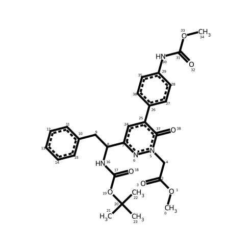 COC(=O)Cn1nc(C(Cc2ccccc2)NC(=O)OC(C)(C)C)cc(-c2ccc(NC(=O)OC)cc2)c1=O